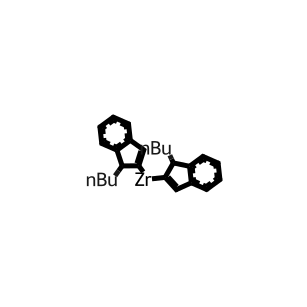 CCCCC1[C]([Zr][C]2=Cc3ccccc3C2CCCC)=Cc2ccccc21